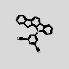 N#Cc1cc(C#N)cc(-n2c3ccccc3c3ccc4c(c32)Cc2ccccc2-4)c1